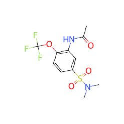 CC(=O)Nc1cc(S(=O)(=O)N(C)C)ccc1OC(F)(F)F